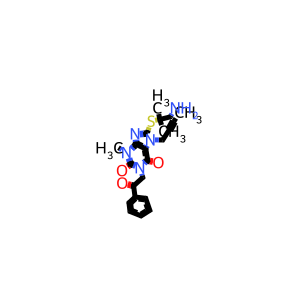 CC#CCn1c(SC(C)(C)CN)nc2c1c(=O)n(CC(=O)c1ccccc1)c(=O)n2C